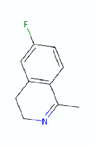 CC1=NCCc2cc(F)ccc21